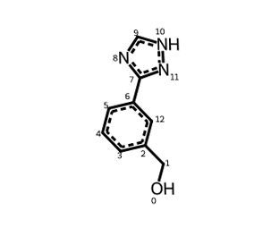 OCc1cccc(-c2nc[nH]n2)c1